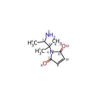 CC(N)C(C)(C)N1C(=O)C=CC1=O